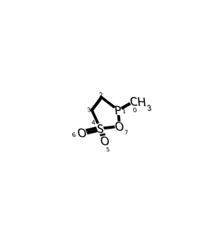 CP1CCS(=O)(=O)O1